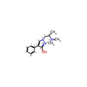 CC(Cn1cc(-c2ccccc2)c(O)n1)N(C)C